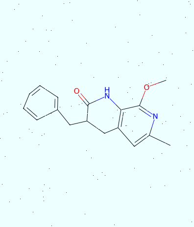 COc1nc(C)cc2c1NC(=O)C(Cc1ccccc1)C2